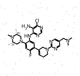 C[C@@H]1CN(c2cc(F)c(C3=CCCN(c4ncc(CN(C)C)cn4)C3)cc2Nc2ncnc(Cl)c2N)C[C@H](C)N1C